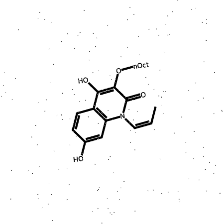 C/C=C\n1c(=O)c(OCCCCCCCC)c(O)c2ccc(O)cc21